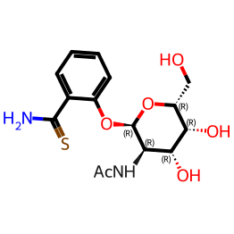 CC(=O)N[C@H]1[C@@H](Oc2ccccc2C(N)=S)O[C@H](CO)[C@H](O)[C@@H]1O